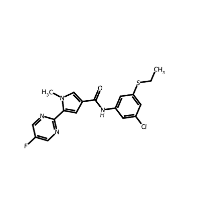 CCSc1cc(Cl)cc(NC(=O)c2cc(-c3ncc(F)cn3)n(C)c2)c1